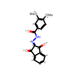 COc1ccc(C(=O)NN=c2c(=O)c3ccccc3c2=O)cc1OC